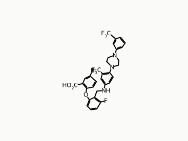 O=C(O)c1cc(Br)ccc1Oc1cccc(F)c1CNc1ccc(N2CCN(c3cccc(C(F)(F)F)c3)CC2)c(C(F)(F)F)c1